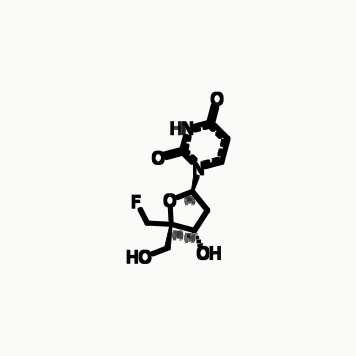 O=c1ccn([C@H]2C[C@H](O)[C@](CO)(CF)O2)c(=O)[nH]1